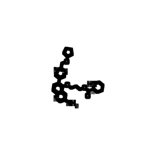 Nc1cnc2ccc(-c3cnc(COC4CCCC4)nc3)c(OCCCOC(=O)[C@@H]3CCCCN3)c2c1